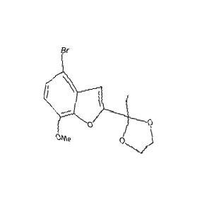 COc1ccc(Br)c2cc(C3(C)OCCO3)oc12